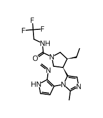 C=Nc1[nH]ccc1-n1c([C@H]2CN(C(=O)NCC(F)(F)F)C[C@H]2CC)cnc1C